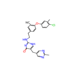 Cc1ncc(Cc2c[nH]c(NCCc3ccc(Oc4ccc(Cl)c(C)c4)c(C#N)c3)nc2=O)cn1